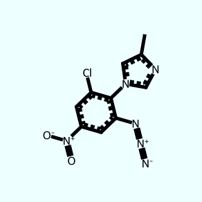 Cc1cn(-c2c(Cl)cc([N+](=O)[O-])cc2N=[N+]=[N-])cn1